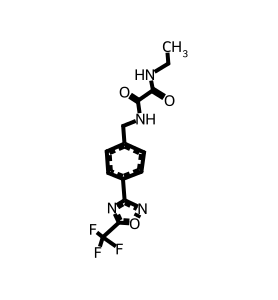 CCNC(=O)C(=O)NCc1ccc(-c2noc(C(F)(F)F)n2)cc1